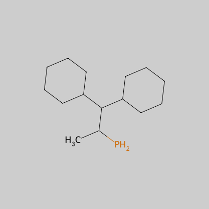 CC(P)C(C1CCCCC1)C1CCCCC1